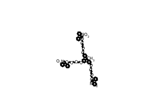 CC(c1ccc(OCCOCCOCCOC(C[N+](=O)[O-])(c2ccccc2)c2ccccc2)cc1)(c1ccc(OCCOCCOCCOC(C[N+](=O)[O-])(c2ccccc2)c2ccccc2)cc1)c1ccc(OCCOCCOCCOC(C[N+](=O)[O-])(c2ccccc2)c2ccccc2)cc1